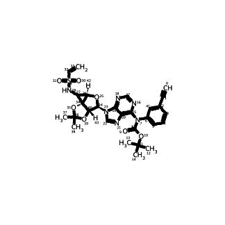 C#Cc1cccc(N(C(=O)OC(C)(C)C)c2ncnc3c2ncn3[C@@H]2O[C@@H]3C(NS(=O)(=O)C=C)[C@@]34OC(C)(C)O[C@@H]24)c1